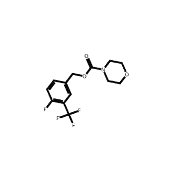 O=C(OCc1ccc(F)c(C(F)(F)F)c1)N1CCOCC1